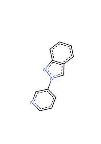 c1cncc(-n2cc3ccccc3n2)c1